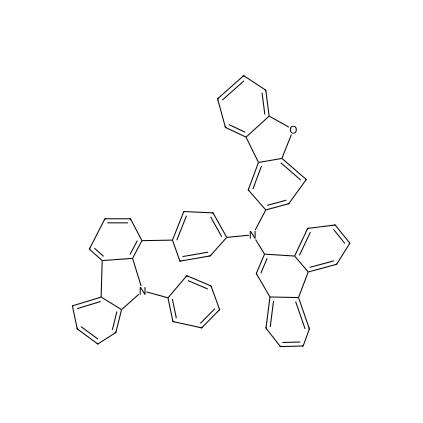 c1ccc(-n2c3ccccc3c3cccc(-c4ccc(N(c5ccc6oc7ccccc7c6c5)c5cc6ccccc6c6ccccc56)cc4)c32)cc1